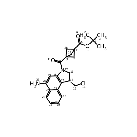 CC(C)(C)OC(=O)C12CC(C(=O)N3C[C@@H](CCl)c4c3cc(N)c3ccccc43)(C1)C2